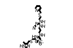 Cc1[nH]cnc1CSCCNC(=C[N+](=O)[O-])NCCCNC(=NC#N)NCCSCc1ccccn1